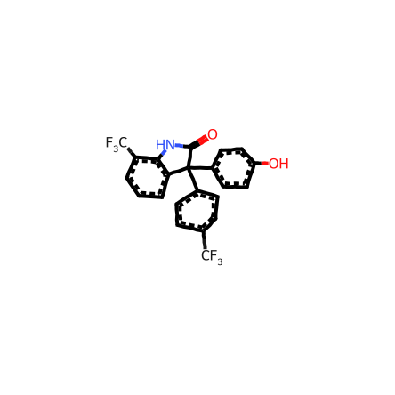 O=C1Nc2c(C(F)(F)F)cccc2C1(c1ccc(O)cc1)c1ccc(C(F)(F)F)cc1